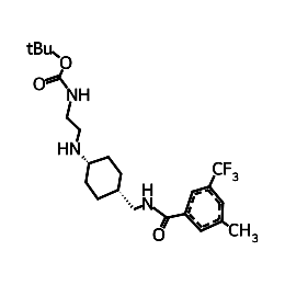 Cc1cc(C(=O)NC[C@H]2CC[C@@H](NCCNC(=O)OC(C)(C)C)CC2)cc(C(F)(F)F)c1